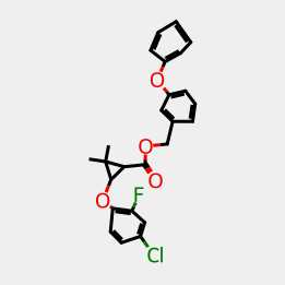 CC1(C)C(Oc2ccc(Cl)cc2F)C1C(=O)OCc1cccc(Oc2ccccc2)c1